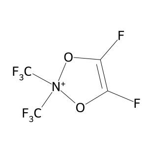 FC1=C(F)O[N+](C(F)(F)F)(C(F)(F)F)O1